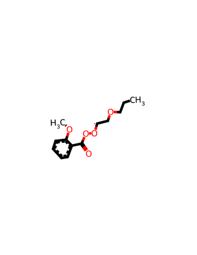 CCCOC[CH]OOC(=O)c1ccccc1OC